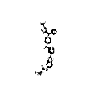 O=C(Nc1ccc2oc(-c3ccnc(C(=O)N4CCN(C(c5ccsc5)c5nnn(C(F)F)n5)CC4)c3)nc2c1)[C@@H]1C[C@@H]1F